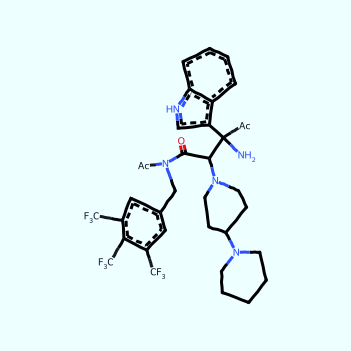 CC(=O)N(Cc1cc(C(F)(F)F)c(C(F)(F)F)c(C(F)(F)F)c1)C(=O)C(N1CCC(N2CCCCC2)CC1)C(N)(C(C)=O)c1c[nH]c2ccccc12